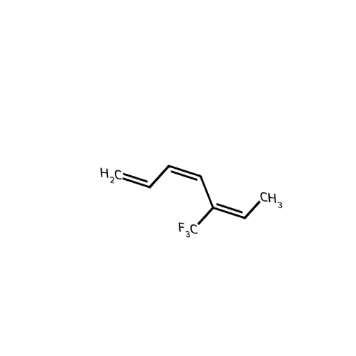 C=C/C=C\C(=C/C)C(F)(F)F